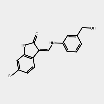 O=C1Nc2cc(Br)ccc2C1=CNc1cccc(CO)c1